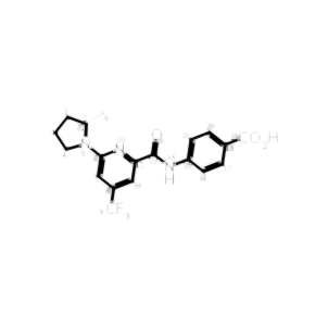 C[C@H]1CCCN1c1cc(C(F)(F)F)cc(C(=O)Nc2ccc(C(=O)O)cc2)n1